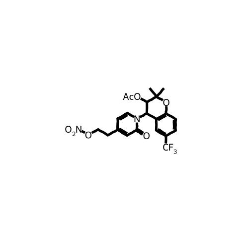 CC(=O)OC1C(n2ccc(CCO[N+](=O)[O-])cc2=O)c2cc(C(F)(F)F)ccc2OC1(C)C